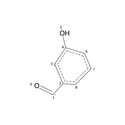 O=[C]c1[c]c(O)ccc1